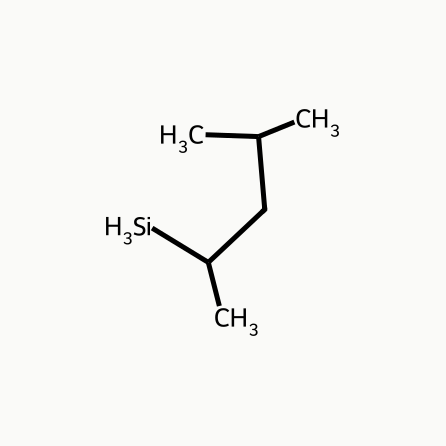 CC(C)CC(C)[SiH3]